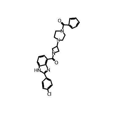 O=C(c1ccccc1)N1CCN(C2CN(C(=O)c3cccc4[nH]c(-c5ccc(Cl)cc5)nc34)C2)CC1